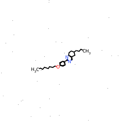 CCCCCCCCOc1ccc(-c2ncc3c(n2)CCC(CCCC)C3)cc1